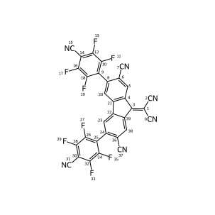 N#CC(C#N)=C1c2cc(C#N)c(-c3c(F)c(F)c(C#N)c(F)c3F)cc2-c2cc(-c3c(F)c(F)c(C#N)c(F)c3F)c(C#N)cc21